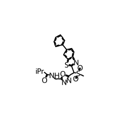 CC(C)C(=O)NCc1nnc(C(c2nc3ccc(-c4ccccc4)cc3s2)S(C)(=O)=O)o1